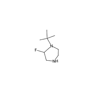 CC(C)(C)N1CCNCC1F